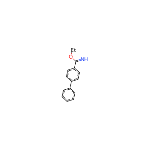 CCOC(=N)c1ccc(-c2ccccc2)cc1